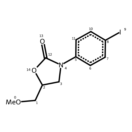 COCC1CN(c2ccc(I)cc2)C(=O)O1